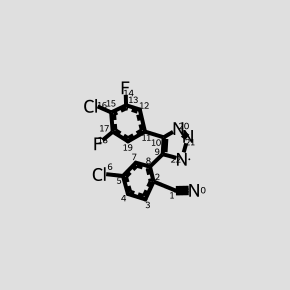 N#Cc1ccc(Cl)cc1C1=C(c2cc(F)c(Cl)c(F)c2)N=N[N]1